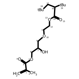 C=C(C)C(=O)OCC(O)COCCOC(=O)C(CC(C)(C)C)C(C)(C)C